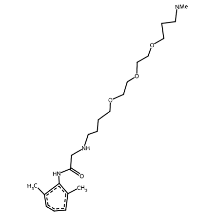 CNCCCOCCOCCOCCCCNCC(=O)Nc1c(C)cccc1C